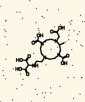 CC1CN(C(=O)O)CCN(CCNC(C(=O)O)C(=O)O)CCN(C(=O)O)CCN1CC(=O)O